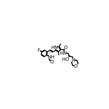 Cc1[nH]c(/C=C/c2cc(F)ccc2NC=O)c(C)c1C(=O)NC[C@@H](O)CN1CCOCC1